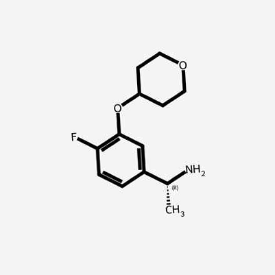 C[C@@H](N)c1ccc(F)c(OC2CCOCC2)c1